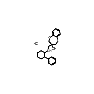 Cl.OC1(CNC2CCCCC2c2ccccc2)COc2ccccc2OC1